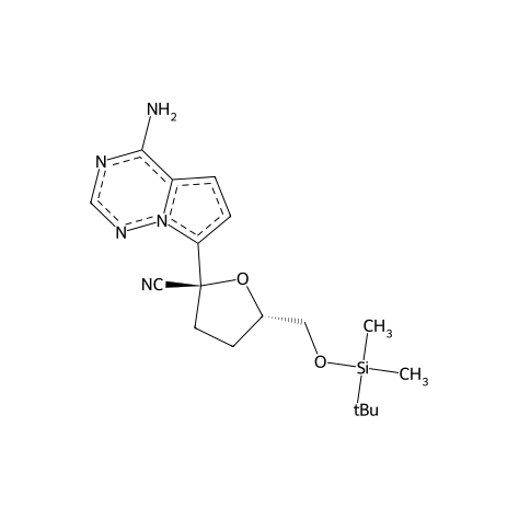 CC(C)(C)[Si](C)(C)OC[C@@H]1CC[C@](C#N)(c2ccc3c(N)ncnn23)O1